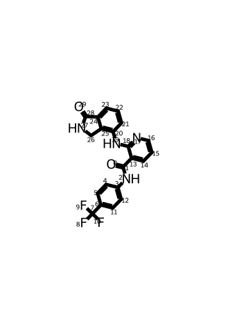 O=C(Nc1ccc(C(F)(F)F)cc1)c1cccnc1Nc1cccc2c1CNC2=O